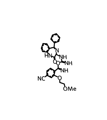 COCCOc1cc(C#N)ccc1C(=N)OC(=N)NC1N=C(c2ccccc2)c2ccccc2NC1=O